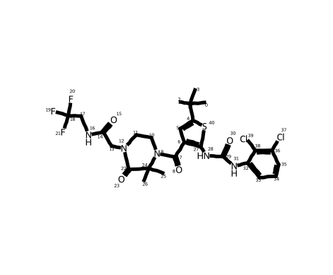 CC(C)(C)c1cc(C(=O)N2CCN(CC(=O)NCC(F)(F)F)C(=O)C2(C)C)c(NC(=O)Nc2cccc(Cl)c2Cl)s1